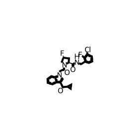 O=C(c1cn(CC(=O)N2C[C@H](F)C[C@H]2C(=O)NCc2cccc(Cl)c2F)c2ccccc12)C1CC1